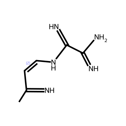 CC(=N)/C=C\NC(=N)C(=N)N